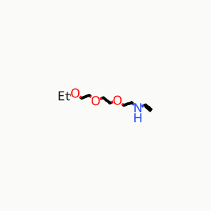 C=CNCCOCCOCCOCC